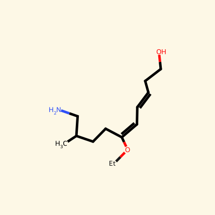 CCO/C(=C/C=C/CCO)CCC(C)CN